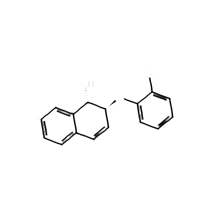 O[C@H]1c2ccccc2C=C[C@@H]1Oc1ccccc1Br